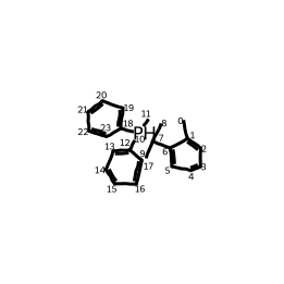 Cc1ccccc1C(C)(C)[PH](C)(c1ccccc1)c1ccccc1